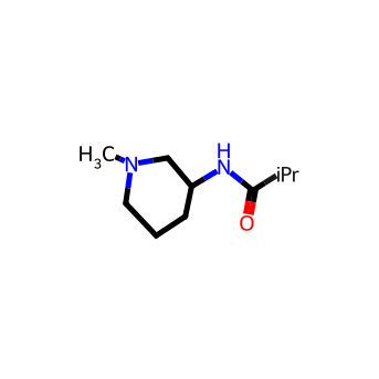 CC(C)C(=O)NC1CCCN(C)C1